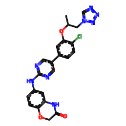 CC(Cn1cnnn1)Oc1cc(-c2cnc(Nc3ccc4c(c3)NC(=O)CO4)nc2)ccc1Cl